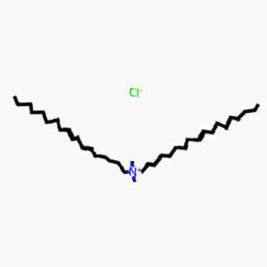 CCCCCCCCC=CCCCCCCCC[N+](C)(C)CCCCCCCCC=CCCCCCCCC.[Cl-]